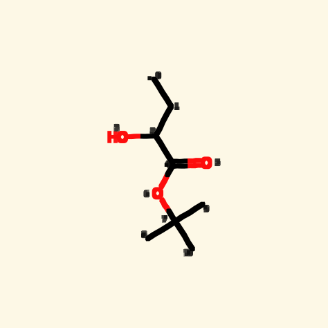 [CH2]CC(O)C(=O)OC(C)(C)C